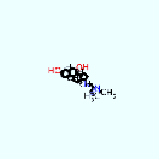 C=C/N=C(\C=C/C)C/N=C1\CC[C@H]2[C@@H]3[C@H](O)C[C@@H]4C[C@H](O)CC[C@]4(C)[C@H]3CC[C@]12C